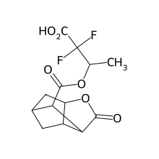 CC(OC(=O)C1C2CC3OC(=O)C1C3C2)C(F)(F)C(=O)O